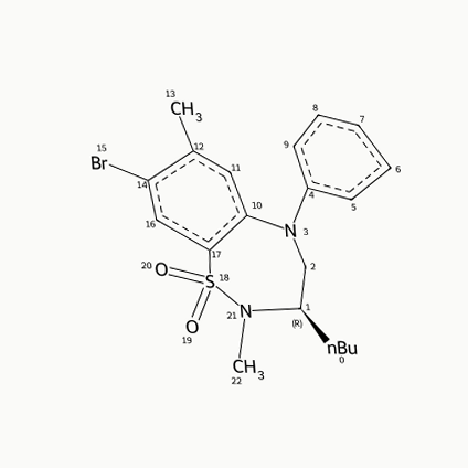 CCCC[C@@H]1CN(c2ccccc2)c2cc(C)c(Br)cc2S(=O)(=O)N1C